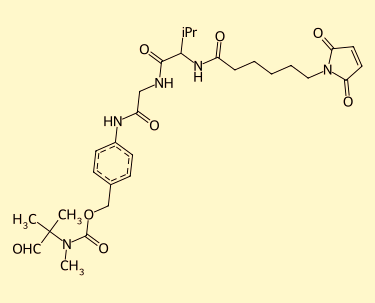 CC(C)C(NC(=O)CCCCCN1C(=O)C=CC1=O)C(=O)NCC(=O)Nc1ccc(COC(=O)N(C)C(C)(C)C=O)cc1